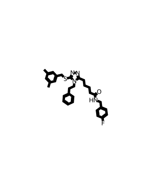 Cc1cc(C)cc(CSc2nnc(CCCCC(=O)NCc3ccc(F)cc3)n2CCc2ccccc2)c1